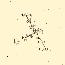 CC(C)CCCCC(=O)NCCCNCCCOCC(COCCC(=O)NCCCNC(=O)CCCCC(C)C)(COCCC(=O)NCCCNC(=O)CCCCC(C)C)NC(C)C